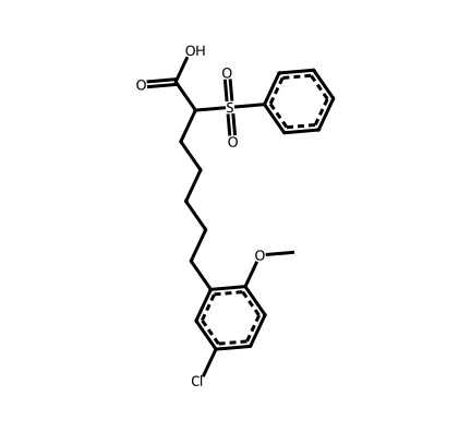 COc1ccc(Cl)cc1CCCCCC(C(=O)O)S(=O)(=O)c1ccccc1